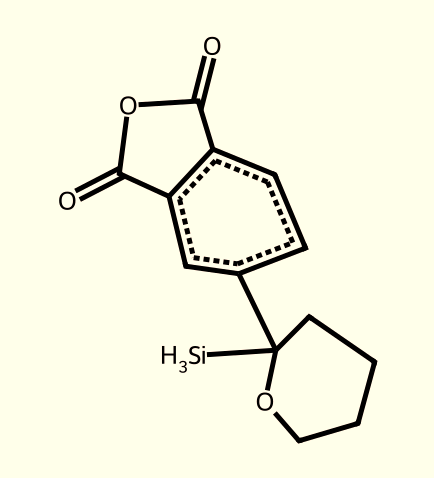 O=C1OC(=O)c2cc(C3([SiH3])CCCCO3)ccc21